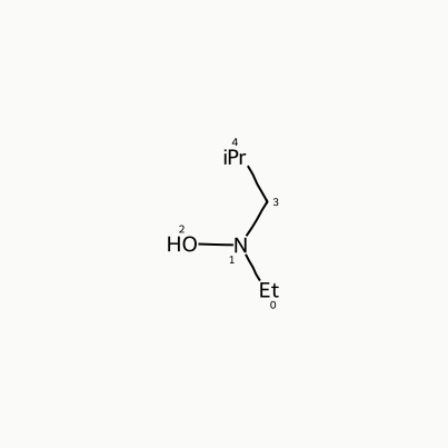 CCN(O)CC(C)C